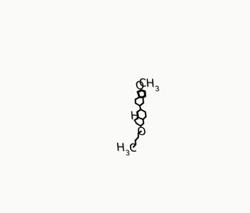 CCCCCO[C@@H]1CC[C@@H]2CC(C3CCc4cc(OC)ccc4C3)CCC2C1